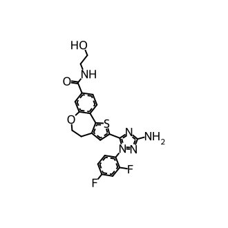 Nc1nc(-c2cc3c(s2)-c2ccc(C(=O)NCCO)cc2OCC3)n(-c2ccc(F)cc2F)n1